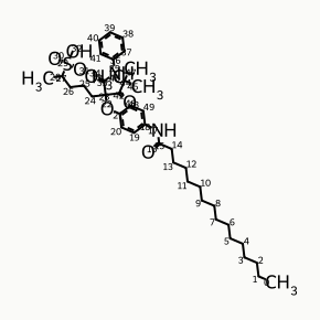 CCCCCCCCCCCCCCCC(=O)Nc1ccc(OC(CCCC(C)S(=O)(=O)O)(C(=O)Nc2ccccc2)C(=O)C(C)(C)C)cc1